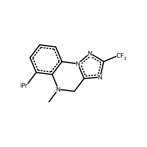 CC(C)c1cccc2c1N(C)Cc1nc(C(F)(F)F)nn1-2